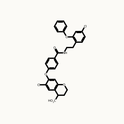 O=C(NCCc1ccc(Cl)cc1Oc1ccccc1)c1ccc(Oc2cc3c(cc2Cl)C(C(=O)O)CCO3)cc1